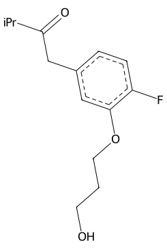 CC(C)C(=O)Cc1ccc(F)c(OCCCO)c1